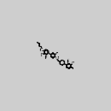 CCCCOc1ccc(-c2ccc(OCC3CCC(c4ccc(C)c(F)c4F)CC3)c(F)c2)c(F)c1F